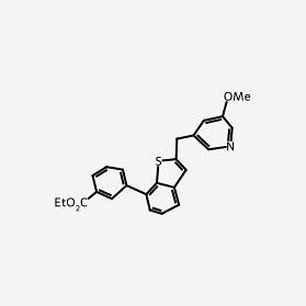 CCOC(=O)c1cccc(-c2cccc3cc(Cc4cncc(OC)c4)sc23)c1